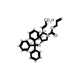 C=CCOC(=O)N1C[C@@H](SC(c2ccccc2)(c2ccccc2)c2ccccc2)C[C@H]1C=CC(=O)O